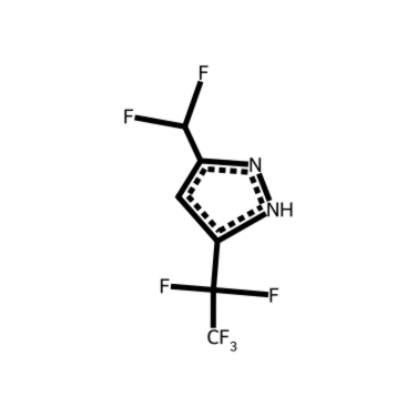 FC(F)c1cc(C(F)(F)C(F)(F)F)[nH]n1